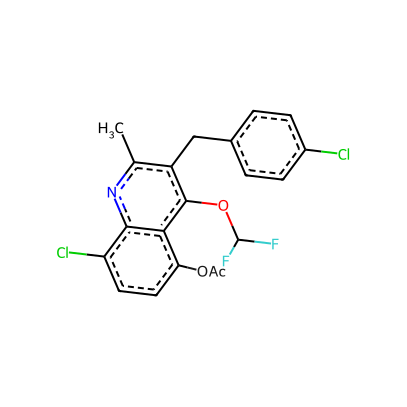 CC(=O)Oc1ccc(Cl)c2nc(C)c(Cc3ccc(Cl)cc3)c(OC(F)F)c12